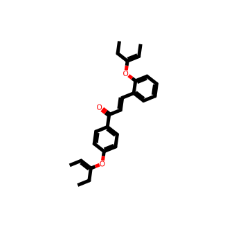 CC=C(CC)Oc1ccc(C(=O)C=Cc2ccccc2OC(=CC)CC)cc1